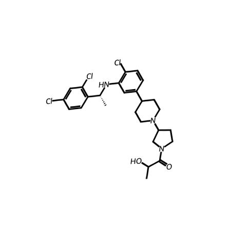 CC(O)C(=O)N1CCC(N2CCC(c3ccc(Cl)c(N[C@H](C)c4ccc(Cl)cc4Cl)c3)CC2)C1